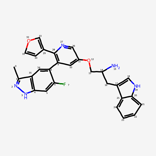 Cc1n[nH]c2cc(F)c(-c3cc(OCC(N)Cc4c[nH]c5ccccc45)cnc3-c3ccoc3)cc12